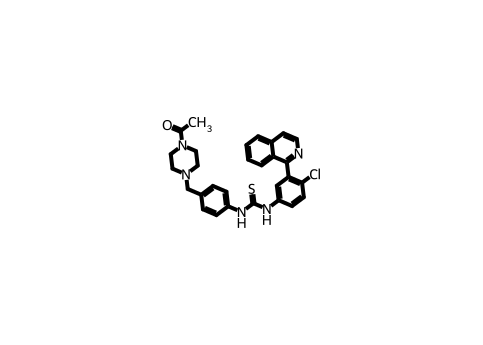 CC(=O)N1CCN(Cc2ccc(NC(=S)Nc3ccc(Cl)c(-c4nccc5ccccc45)c3)cc2)CC1